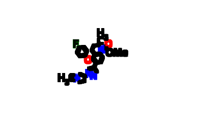 COC(=O)N1c2ccc(-c3cnn(C4CCN(C)C4)c3)c(Oc3ccc(F)cc3)c2CCC1C